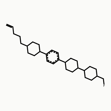 C=CCCCC1CCC(c2ccc(C3CCC(C4CCC(CF)CC4)CC3)cc2)CC1